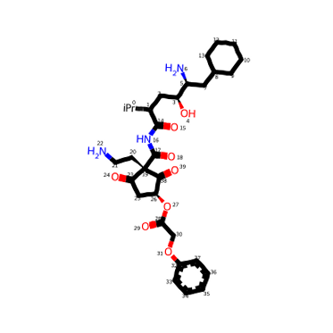 CC(C)C(C[C@H](O)[C@@H](N)CC1CCCCC1)C(=O)NC(=O)[C@@]1(CCN)C(=O)C[C@H](OC(=O)COc2ccccc2)C1=O